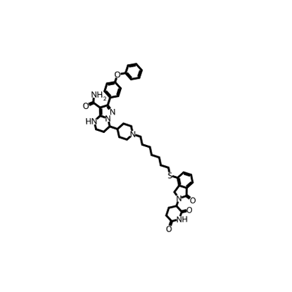 NC(=O)c1c(-c2ccc(Oc3ccccc3)cc2)nn2c1NCCC2C1CCN(CCCCCCCSc2cccc3c2CN(C2CCC(=O)NC2=O)C3=O)CC1